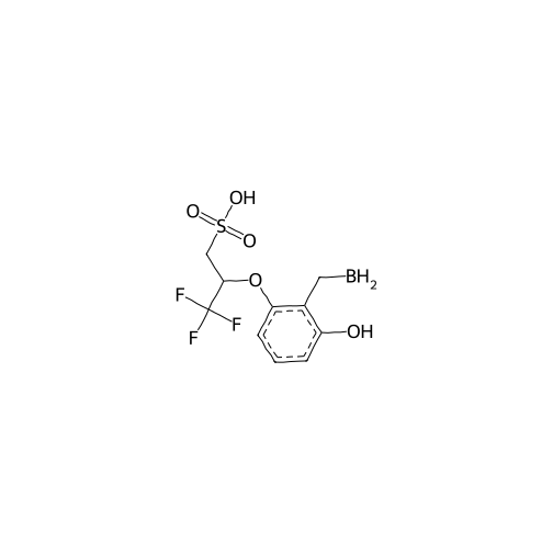 BCc1c(O)cccc1OC(CS(=O)(=O)O)C(F)(F)F